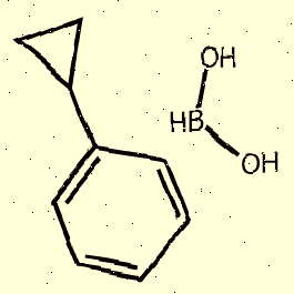 OBO.c1ccc(C2CC2)cc1